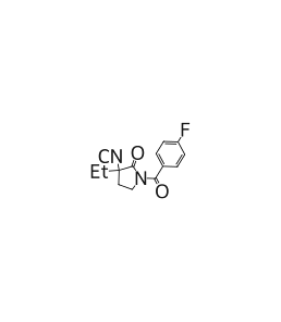 CCC1(C#N)CCN(C(=O)c2ccc(F)cc2)C1=O